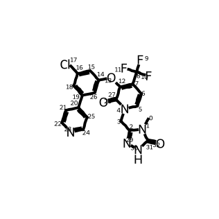 Cn1c(Cn2ccc(C(F)(F)F)c(Oc3cc(Cl)cc(-c4ccncc4)c3)c2=O)n[nH]c1=O